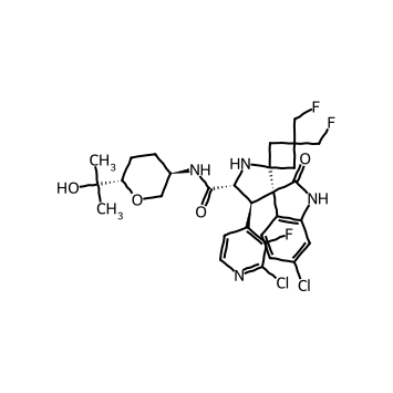 CC(C)(O)[C@@H]1CC[C@@H](NC(=O)[C@@H]2NC3(CC(CF)(CF)C3)[C@@]3(C(=O)Nc4cc(Cl)ccc43)[C@H]2c2ccnc(Cl)c2F)CO1